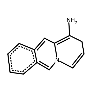 NC1=C2C=c3ccccc3=CN2C=CC1